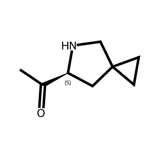 CC(=O)[C@@H]1CC2(CC2)CN1